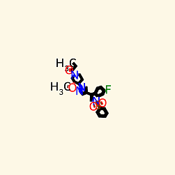 CCC(=O)N1CCC(n2cc(-c3cn(S(=O)(=O)c4ccccc4)c4cc(F)ccc34)cn2)C(OC)C1